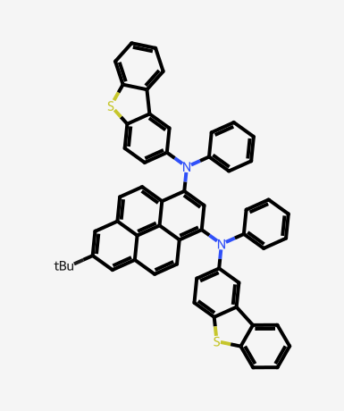 CC(C)(C)c1cc2ccc3c(N(c4ccccc4)c4ccc5sc6ccccc6c5c4)cc(N(c4ccccc4)c4ccc5sc6ccccc6c5c4)c4ccc(c1)c2c34